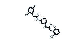 O=C(Cc1c(Cl)cccc1Cl)Nc1ccnc(NC(=O)Cc2cc(F)ccc2Cl)c1